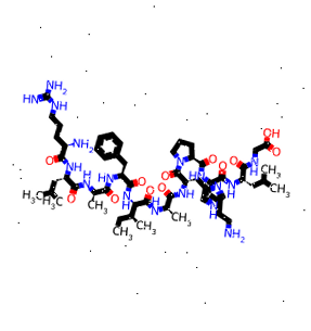 CC[C@H](C)[C@H](NC(=O)[C@H](Cc1ccccc1)NC(=O)[C@H](C)NC(=O)[C@H](CC(C)C)NC(=O)[C@@H](N)CCCNC(=N)N)C(=O)N[C@@H](C)C(=O)N[C@@H](Cc1c[nH]cn1)C(=O)N1CCC[C@H]1C(=O)N[C@@H](CCCCN)C(=O)N[C@@H](CC(C)C)C(=O)NCC(=O)O